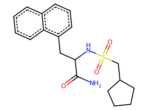 NC(=O)C(Cc1cccc2ccccc12)NS(=O)(=O)CC1CCCC1